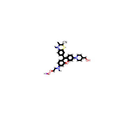 CC1C(C#N)Sc2cc(-c3c4cc/c(=[N+](/C)CCOOI)cc-4oc4cc(N5CCC(CO)CC5)ccc34)ccc2N1C